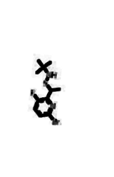 CC(SNC(C)(C)C)c1nc(Br)ccc1F